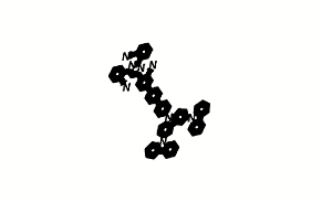 N#Cc1ccccc1-c1cc(-c2ccc(-c3ccc(-c4ccc(-n5c6ccc(-n7c8ccccc8c8ccccc87)cc6c6cc(-n7c8ccccc8c8ccccc87)ccc65)cc4)cc3)cc2C#N)nc(-c2ccccc2C#N)n1